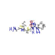 CCCc1sc(CN)nc1CSCCNC(=N[N+](=O)[O-])NC1CCCCC1